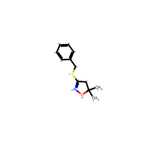 CC1(C)CC(SCc2ccccc2)=NO1